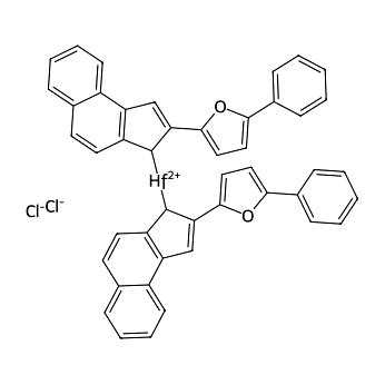 C1=C(c2ccc(-c3ccccc3)o2)[CH]([Hf+2][CH]2C(c3ccc(-c4ccccc4)o3)=Cc3c2ccc2ccccc32)c2ccc3ccccc3c21.[Cl-].[Cl-]